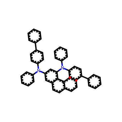 c1ccc(-c2ccc(N(c3ccccc3)c3cc(N(c4ccccc4)c4ccc(-c5ccccc5)cc4)c4c(ccc5ccccc54)c3)cc2)cc1